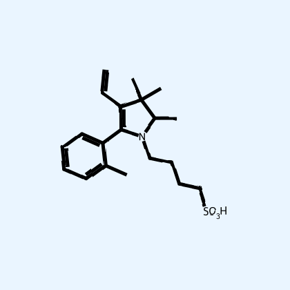 C=CC1=C(c2ccccc2C)N(CCCCS(=O)(=O)O)C(C)C1(C)C